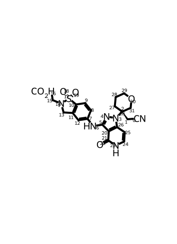 N#CC[C@@]1(n2nc(Nc3ccc4c(c3)CN(CC(=O)O)S4(=O)=O)c3c(=O)[nH]ccc32)CCCOC1